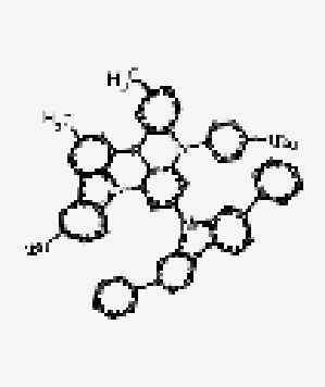 Cc1ccc2c(c1)B1c3c(cc(-n4c5cc(-c6ccccc6)ccc5c5ccc(-c6ccccc6)cc54)cc3-n3c4ccc(C(C)(C)C)cc4c4cc(C)cc1c43)N2c1ccc(C(C)(C)C)cc1